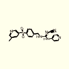 Cc1cncc(S(=O)(=O)c2ccc(CNC(=NC#N)Nc3ccncc3)cc2)c1